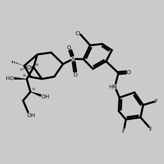 C[C@H]1CC2CC(S(=O)(=O)c3cc(C(=O)Nc4cc(F)c(F)c(F)c4)ccc3Cl)CC1[C@@]2(O)[C@H](O)[C@@H](O)CO